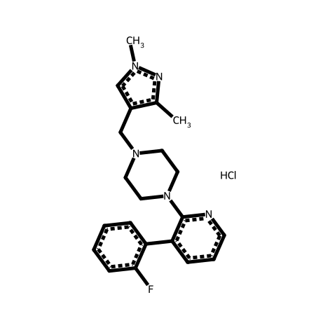 Cc1nn(C)cc1CN1CCN(c2ncccc2-c2ccccc2F)CC1.Cl